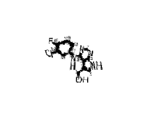 OCc1c[nH]c2ncnc(Nc3ccc(F)c(Cl)c3)c12